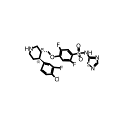 O=S(=O)(Nc1ncns1)c1cc(F)c(OC[C@H]2CNCC[C@@H]2c2ccc(Cl)c(F)c2)cc1F